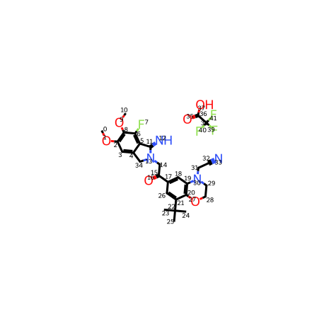 COc1cc2c(c(F)c1OC)C(=N)N(CC(=O)c1cc3c(c(C(C)(C)C)c1)OCCN3CC#N)C2.O=C(O)C(F)(F)F